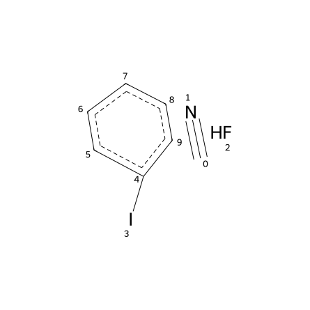 C#N.F.Ic1ccccc1